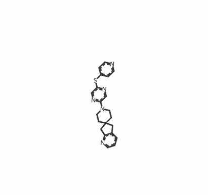 c1cnc2c(c1)CC1(CCN(c3cnc(Sc4ccncc4)cn3)CC1)C2